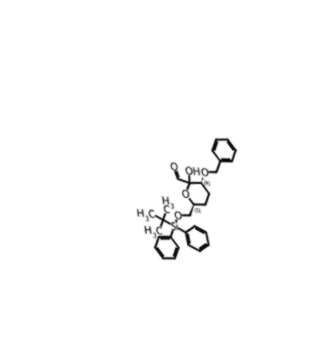 CC(C)(C)[Si](OC[C@@H]1CC[C@@H](OCc2ccccc2)C(O)(C=O)O1)(c1ccccc1)c1ccccc1